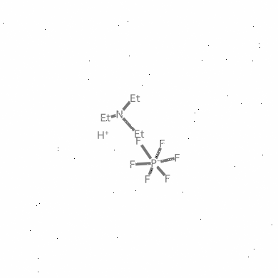 CCN(CC)CC.F[P-](F)(F)(F)(F)F.[H+]